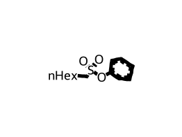 CCCCCCCS(=O)(=O)Oc1ccccc1